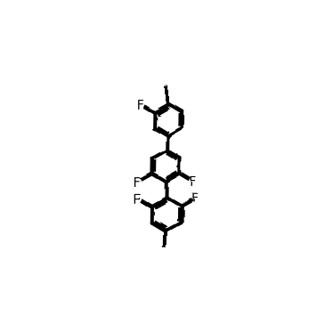 Cc1cc(F)c(-c2c(F)cc(-c3ccc(C)c(F)c3)cc2F)c(F)c1